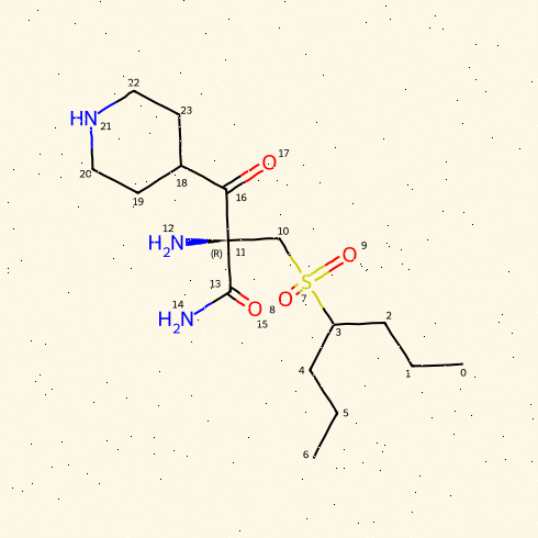 CCCC(CCC)S(=O)(=O)C[C@](N)(C(N)=O)C(=O)C1CCNCC1